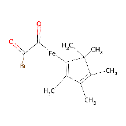 CC1=C(C)C(C)(C)[C]([Fe][C](=O)C(=O)Br)=C1C